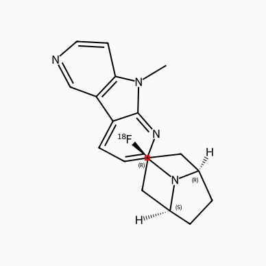 Cn1c2ccncc2c2ccc(N3[C@@H]4CC[C@H]3C[C@@H]([18F])C4)nc21